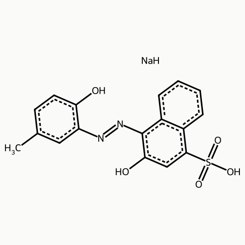 Cc1ccc(O)c(/N=N/c2c(O)cc(S(=O)(=O)O)c3ccccc23)c1.[NaH]